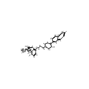 c1ccc2cc(C3CCN(CCCOc4cccc5[nH]ccc45)CC3)ccc2c1